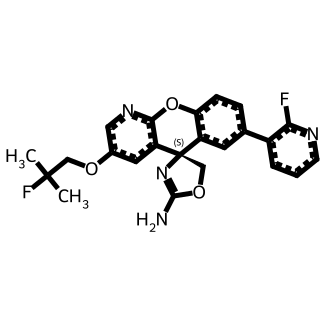 CC(C)(F)COc1cnc2c(c1)[C@]1(COC(N)=N1)c1cc(-c3cccnc3F)ccc1O2